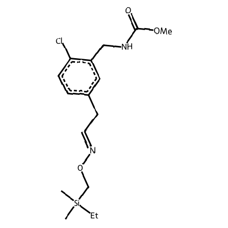 CC[Si](C)(C)CON=CCc1ccc(Cl)c(CNC(=O)OC)c1